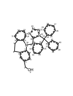 OCc1ccc2c(c1)CCc1ccccc1N2Cc1nnnn1C(c1ccccc1)(c1ccccc1)c1ccccc1